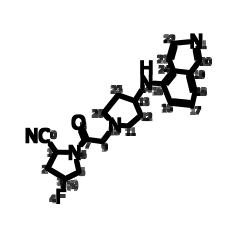 N#CC1C[C@H](F)CN1C(=O)CN1CCC(Nc2cccc3cnccc23)CC1